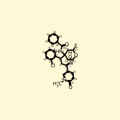 Cn1cc(/C(CC(c2ccccc2Cl)C2(NC(=O)c3ccccc3)CCOC(F)C2)=N/O)ccc1=O